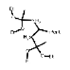 CCCCCC([SiH2]C(C)(OCC)OCC)[SiH2]C(C)(OCC)OCC